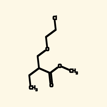 CCC(COCCCl)C(=O)OC